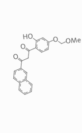 COCOc1ccc(C(=O)CC(=O)c2ccc3ccccc3c2)c(O)c1